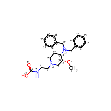 CO[C@@H]1CN(CCNC(=O)O)CC[C@@H]1N(Cc1ccccc1)Cc1ccccc1